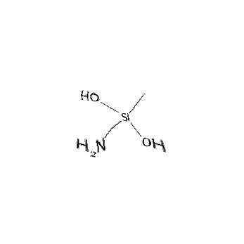 C[Si](N)(O)O